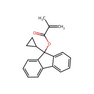 C=C(C)C(=O)OC1(C2CC2)c2ccccc2-c2ccccc21